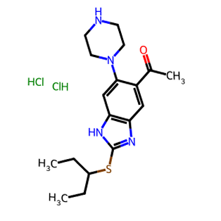 CCC(CC)Sc1nc2cc(C(C)=O)c(N3CCNCC3)cc2[nH]1.Cl.Cl